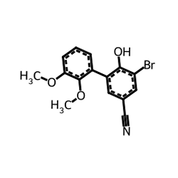 COc1cccc(-c2cc(C#N)cc(Br)c2O)c1OC